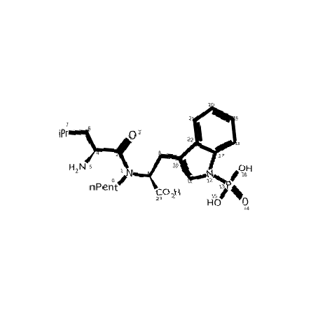 CCCCCN(C(=O)[C@@H](N)CC(C)C)[C@@H](Cc1cn(P(=O)(O)O)c2ccccc12)C(=O)O